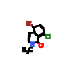 Cn1ccc2c(Br)ccc(Cl)c2c1=O